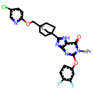 CCCn1c(Oc2ccc(F)c(F)c2)nc2nc(C34CCC(COc5ccc(Cl)cn5)(CC3)CC4)[nH]c2c1=O